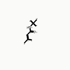 CC(C)=CC(=O)NC(C)(C)C